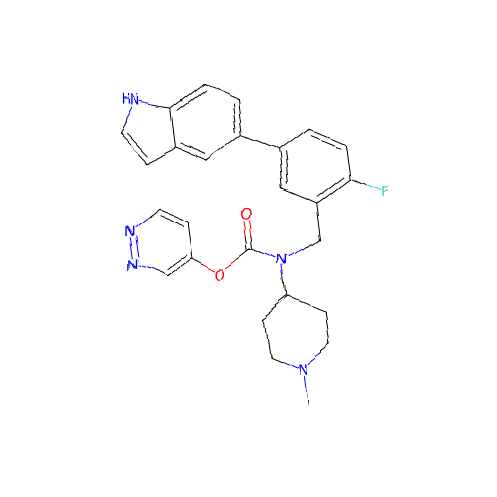 CN1CCC(N(Cc2cc(-c3ccc4[nH]ccc4c3)ccc2F)C(=O)Oc2ccnnc2)CC1